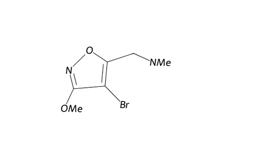 CNCc1onc(OC)c1Br